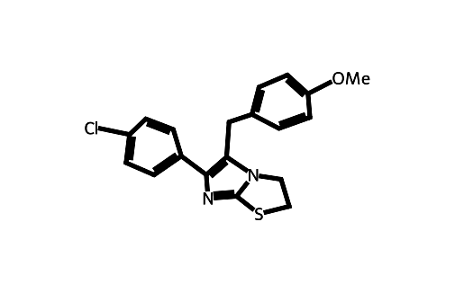 COc1ccc(Cc2c(-c3ccc(Cl)cc3)nc3n2CCS3)cc1